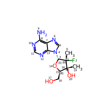 C[C@]1(F)[C@@H](n2cnc3c(N)ncnc32)O[C@H](CO)[C@@]1(C)O